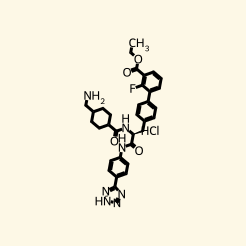 CCOC(=O)c1cccc(-c2ccc(C[C@H](NC(=O)C3CCC(CN)CC3)C(=O)Nc3ccc(-c4nn[nH]n4)cc3)cc2)c1F.Cl